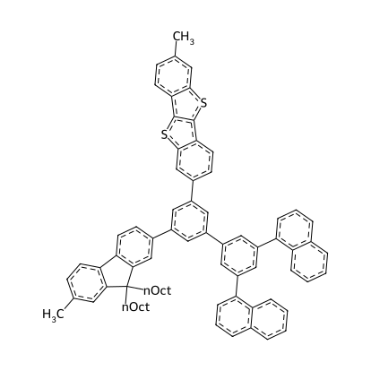 CCCCCCCCC1(CCCCCCCC)c2cc(C)ccc2-c2ccc(-c3cc(-c4cc(-c5cccc6ccccc56)cc(-c5cccc6ccccc56)c4)cc(-c4ccc5c(c4)sc4c6ccc(C)cc6sc54)c3)cc21